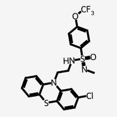 CN=S(=O)(NCCN1c2ccccc2Sc2ccc(Cl)cc21)c1ccc(OC(F)(F)F)cc1